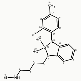 CCNCCCCN1c2ccccc2N(c2ccc(C)cc2F)S1(O)O